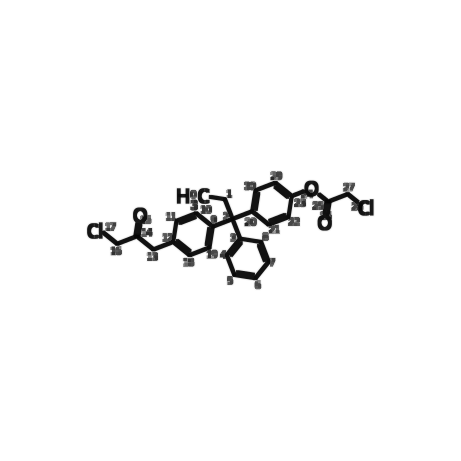 CCC(c1ccccc1)(c1ccc(CC(=O)CCl)cc1)c1ccc(OC(=O)CCl)cc1